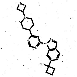 N#CC1(c2ccc3cnn(-c4cc(C5CCN(C6COC6)CC5)ncn4)c3c2)CCC1